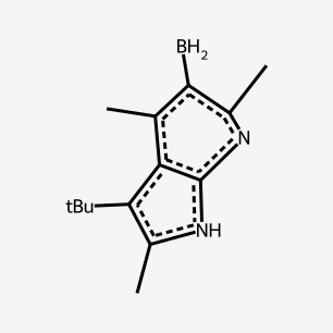 Bc1c(C)nc2[nH]c(C)c(C(C)(C)C)c2c1C